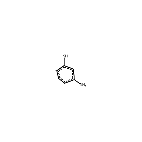 Nc1cc[c]c(S)c1